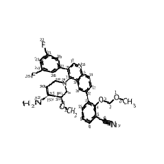 COCOc1c(C#N)cccc1-c1ccc2ncc(-c3cc(F)cc(F)c3)c(N3CC[C@H](N)[C@H](OC)C3)c2c1